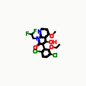 CCOc1c(Cl)ccc(Cl)c1-c1c(O)c2c(OC)ccnc2n(CC(F)F)c1=O